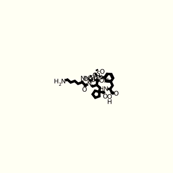 CS(=O)(=O)Nc1cccc(CC(NC(=O)C2(CC(CN(C(=O)C(N)CCCCN)S(C)(=O)=O)C(=O)O)CCCC2)C(=O)O)c1